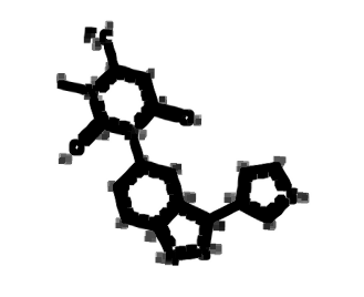 Cn1c(C(F)(F)F)cc(=O)n(-c2ccc3nsc(-c4ccsc4)c3c2)c1=O